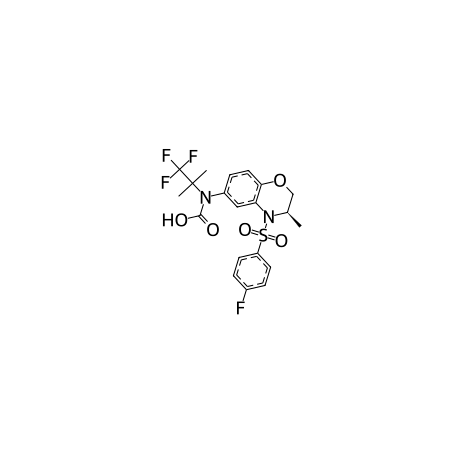 C[C@@H]1COc2ccc(N(C(=O)O)C(C)(C)C(F)(F)F)cc2N1S(=O)(=O)c1ccc(F)cc1